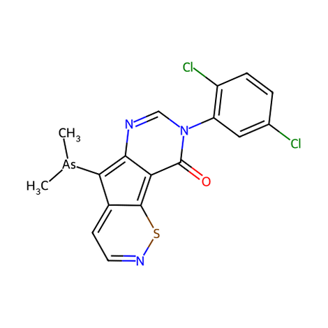 C[As](C)c1c2ccnsc-2c2c(=O)n(-c3cc(Cl)ccc3Cl)cnc12